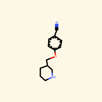 N#Cc1ccc(OCC2CCCNC2)cc1